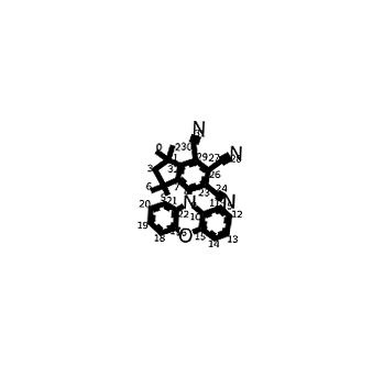 CC1(C)CC(C)(C)c2c(N3c4ccccc4Oc4ccccc43)c(C#N)c(C#N)c(C#N)c21